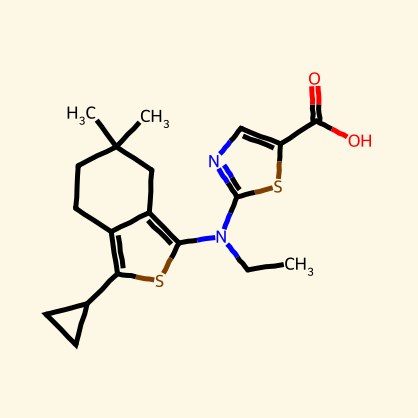 CCN(c1ncc(C(=O)O)s1)c1sc(C2CC2)c2c1CC(C)(C)CC2